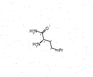 CCCCC[C@@H](N)C(N)=O